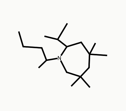 CCCC(C)N1CC(C)(C)CC(C)(C)CC1C(C)C